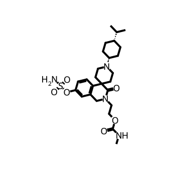 CNC(=O)OCCN1Cc2cc(OS(N)(=O)=O)ccc2C2(CCN([C@H]3CC[C@@H](C(C)C)CC3)CC2)C1=O